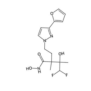 CC(CCn1ccc(-c2ccco2)n1)(C(=O)NO)C(C)(O)C(F)F